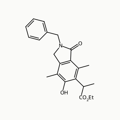 CCOC(=O)C(C)c1c(C)c2c(c(C)c1O)CN(Cc1ccccc1)C2=O